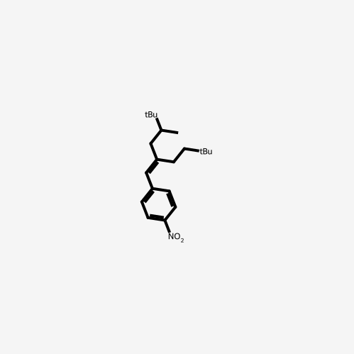 CC(CC(=Cc1ccc([N+](=O)[O-])cc1)CCC(C)(C)C)C(C)(C)C